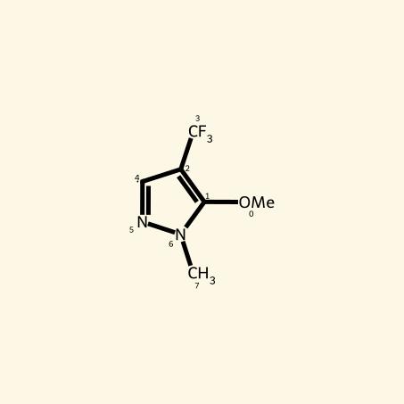 COc1c(C(F)(F)F)[c]nn1C